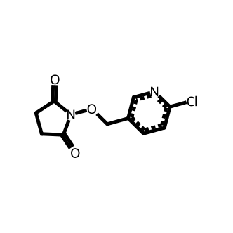 O=C1CCC(=O)N1OCc1ccc(Cl)nc1